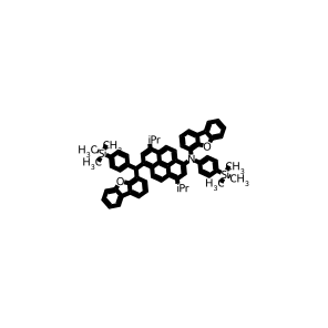 CC(C)c1cc(C(c2ccc([Si](C)(C)C)cc2)c2cccc3c2oc2ccccc23)c2ccc3c(C(C)C)cc(N(c4ccc([Si](C)(C)C)cc4)c4cccc5c4oc4ccccc45)c4ccc1c2c34